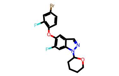 Fc1cc(Br)ccc1Oc1cc2cnn(C3CCCCO3)c2cc1F